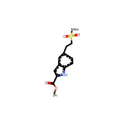 CNS(=O)(=O)CCc1ccc2[nH]c(C(=O)OC(C)C)cc2c1